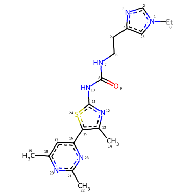 CCn1cnc(CCNC(=O)Nc2nc(C)c(-c3cc(C)nc(C)n3)s2)c1